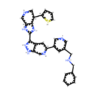 c1ccc(CNCc2cncc(-c3cc4c(-c5nc6c(-c7cccs7)cncc6[nH]5)n[nH]c4cn3)c2)cc1